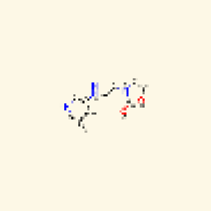 Cc1cncc(NCCN2CCOC2=O)c1